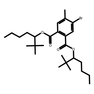 CCCCC(OC(=O)c1cc(C)c(Br)cc1C(=O)OC(CCCC)C(C)(C)C)C(C)(C)C